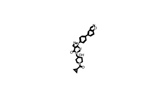 O=C(C1CC1)N1CCC(O)(Cn2cnc3c(cnn3-c3ccc(-c4ccc5oncc5c4)cc3)c2=O)CC1